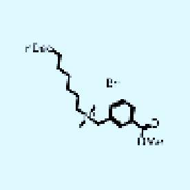 CCCCCCCCCCCCCCCC[N+](C)(C)Cc1cccc(C(=O)OC)c1.[Br-]